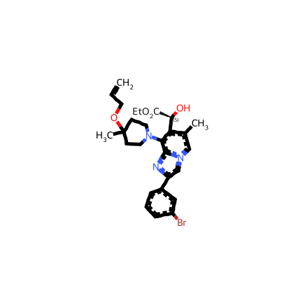 C=CCOC1(C)CCN(c2c([C@H](O)C(=O)OCC)c(C)cn3cc(-c4cccc(Br)c4)nc23)CC1